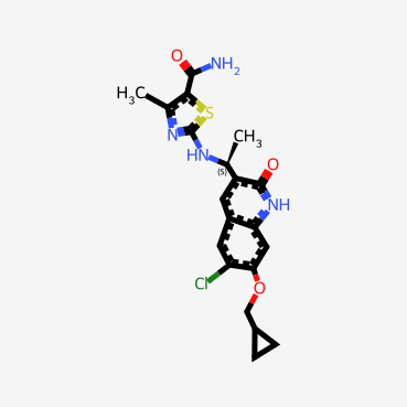 Cc1nc(N[C@@H](C)c2cc3cc(Cl)c(OCC4CC4)cc3[nH]c2=O)sc1C(N)=O